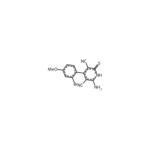 COc1ccc(-c2c(C#N)c(N)[nH]c(=S)c2C#N)c(Br)c1